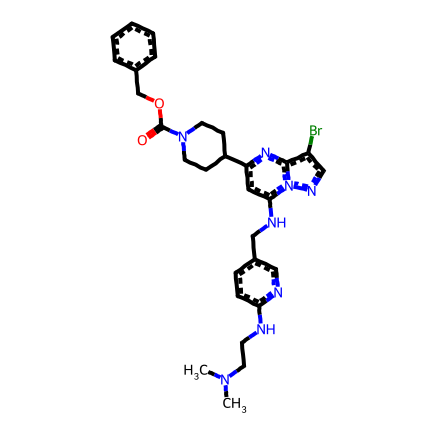 CN(C)CCNc1ccc(CNc2cc(C3CCN(C(=O)OCc4ccccc4)CC3)nc3c(Br)cnn23)cn1